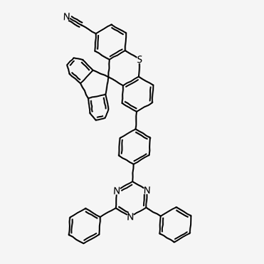 N#Cc1ccc2c(c1)C1(c3cc(-c4ccc(-c5nc(-c6ccccc6)nc(-c6ccccc6)n5)cc4)ccc3S2)c2ccccc2-c2ccccc21